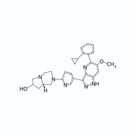 COc1cc2[nH]nc(-c3ccc(N4CCN5CC(O)C[C@H]5C4)nc3)c2nc1-c1ccccc1C1CC1